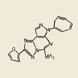 Nc1nc2c(cnn2-c2ccccc2)c2nc(-c3ccco3)nn12